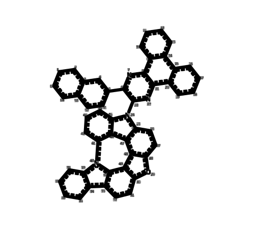 c1ccc2cc(-c3nc4c5ccccc5c5ccccc5c4nc3-n3c4ccc5oc6ccc7c8ccccc8n8c9cccc3c9c4c5c6c78)ccc2c1